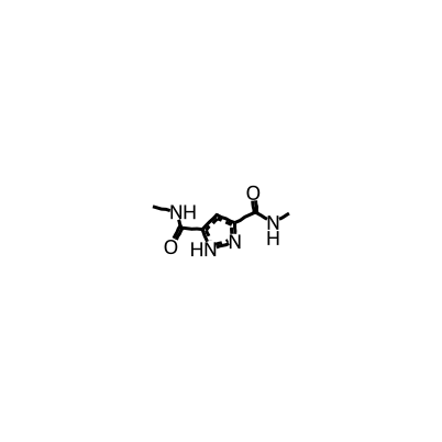 CNC(=O)c1cc(C(=O)NC)[nH]n1